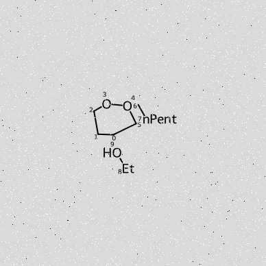 C1CCOOC1.CCCCCC.CCO